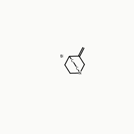 C=C1CN2CCC1CC2.[B]